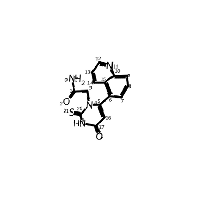 NC(=O)Cn1c(-c2cccc3ncccc23)cc(=O)[nH]c1=S